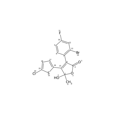 CC1(O)OC(=O)C(c2ccc(F)cc2Br)=C1c1ccc(Cl)s1